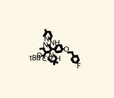 Cc1ccc(Nc2nc(C)c([C@H](OC(C)(C)C)C(=O)O)c(N3CCC(C)(C)CC3)c2-c2ccc(OCCc3ccc(F)cc3)cc2)nc1